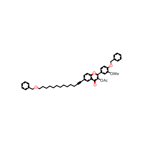 COc1cc(-c2oc3ccc(C#CCCCCCCCCCCCOCc4ccccc4)cc3c(=O)c2OC(C)=O)ccc1OCc1ccccc1